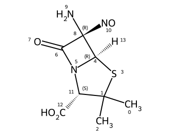 CC1(C)S[C@H]2N(C(=O)[C@@]2(N)N=O)[C@H]1C(=O)O